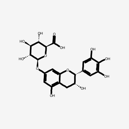 O=C(O)[C@H]1O[C@@H](Oc2cc(O)c3c(c2)O[C@H](c2cc(O)c(O)c(O)c2)[C@H](O)C3)[C@H](O)[C@@H](O)[C@@H]1O